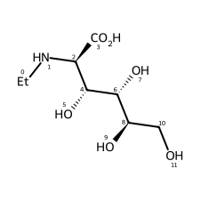 CCN[C@@H](C(=O)O)[C@@H](O)[C@H](O)[C@H](O)CO